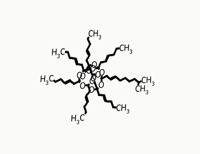 CCC/C=C/CC12OC3OC4(C/C=C/CCC)OC(C/C=C/CCC)(O1)OC1(C/C=C/CCC)OC(C/C=C/CCC)(O2)OC(C/C=C/CCCCC(C)C)(O3)OC(C/C=C/CCC)(O4)O1